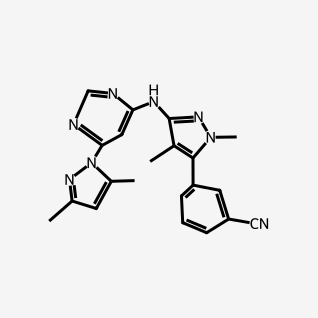 Cc1cc(C)n(-c2cc(Nc3nn(C)c(-c4cccc(C#N)c4)c3C)ncn2)n1